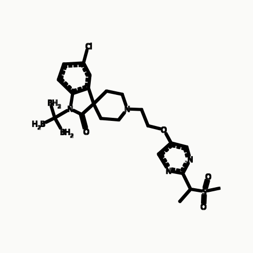 BC(B)(B)N1C(=O)C2(CCN(CCOc3cnc(C(C)S(C)(=O)=O)nc3)CC2)c2cc(Cl)ccc21